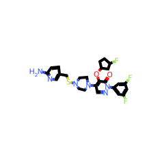 Nc1ccc(CSN2CCN(c3cnn(-c4cc(F)cc(F)c4)c(=O)c3OC3CCC(F)C3)CC2)cn1